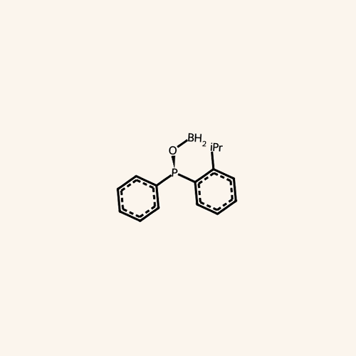 BO[P@](c1ccccc1)c1ccccc1C(C)C